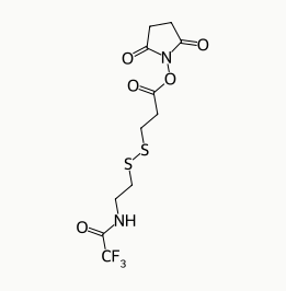 O=C(CCSSCCNC(=O)C(F)(F)F)ON1C(=O)CCC1=O